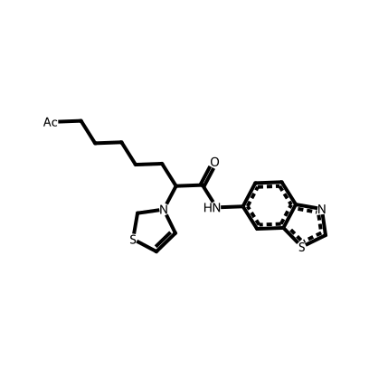 CC(=O)CCCCCC(C(=O)Nc1ccc2ncsc2c1)N1C=CSC1